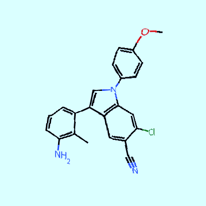 COc1ccc(-n2cc(-c3cccc(N)c3C)c3cc(C#N)c(Cl)cc32)cc1